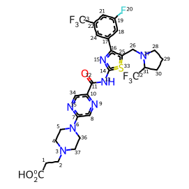 O=C(O)CCN1CCN(c2cnc(C(=O)Nc3nc(-c4cc(F)cc(C(F)(F)F)c4)c(CN4CCCC4C(F)(F)F)s3)cn2)CC1